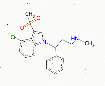 CNCCC(c1ccccc1)n1cc(S(C)(=O)=O)c2c(Cl)cccc21